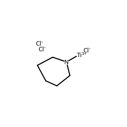 [Cl-].[Cl-].[Cl-].[Ti+3][N]1CCCCC1